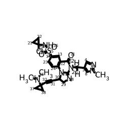 [2H]C([2H])(c1cnn(C)c1)N1C(=O)c2cc(S(=O)(=O)NC3(C)CC3)ccc2N2C1=NCC2C#CC1(N(C)C)CC1